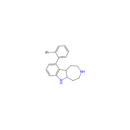 CC(C)c1ccccc1-c1cccc2c1C1CCNCCC1N2